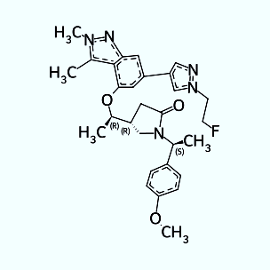 COc1ccc([C@H](C)N2C[C@H]([C@@H](C)Oc3cc(-c4cnn(CCF)c4)cc4nn(C)c(C)c34)CC2=O)cc1